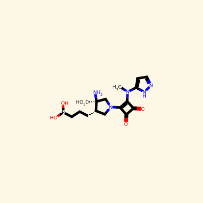 CN(c1ccn[nH]1)c1c(N2C[C@H](CCCB(O)O)[C@](N)(C(=O)O)C2)c(=O)c1=O